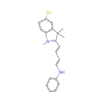 C[N+]1=C(/C=C/C=C/Nc2ccccc2)C(C)(C)c2cc(S)ccc21